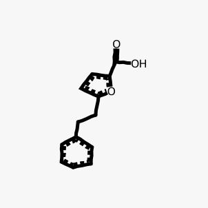 O=C(O)c1ccc(CCc2ccccc2)o1